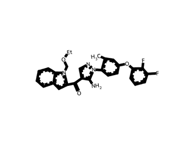 CCOCn1c(C(=O)c2cnn(-c3ccc(Oc4cccc(F)c4F)cc3C)c2N)cc2ccccc21